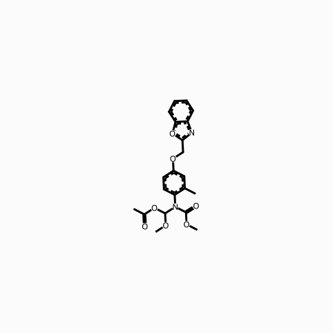 COC(=O)N(c1ccc(OCc2nc3ccccc3o2)cc1C)C(OC)OC(C)=O